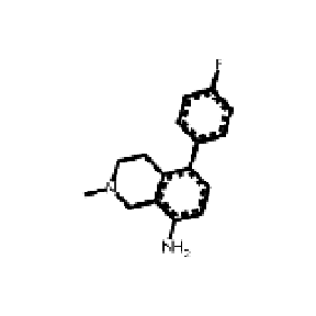 CN1CCc2c(-c3ccc(F)cc3)ccc(N)c2C1